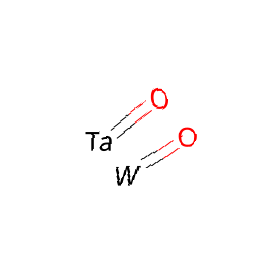 [O]=[Ta].[O]=[W]